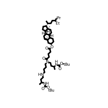 CCC(CCC(C)[C@H]1CC[C@H]2[C@@H]3CC=C4C[C@@H](OC(=O)CCCC(=O)N(CCCCNCCC(C)NC(=O)OC(C)(C)C)CCC(C)NC(=O)OC(C)(C)C)CC[C@]4(C)[C@H]3CC[C@]12C)C(C)C